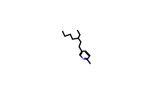 CCCCC(CC)CCc1ccc(C)nc1